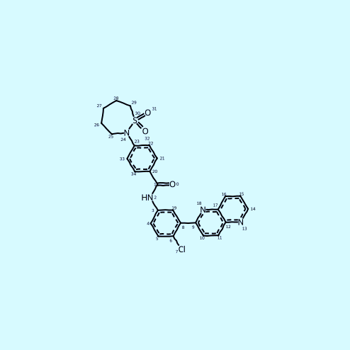 O=C(Nc1ccc(Cl)c(-c2ccc3ncccc3n2)c1)c1ccc(N2CCCCCS2(=O)=O)cc1